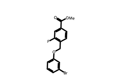 COC(=O)c1ccc(COc2cccc(Br)c2)c(F)c1